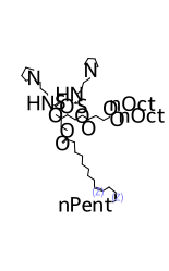 CCCCC/C=C\C/C=C\CCCCCCCC(=O)OCC(OC(=S)NCCCN1CCCC1)C(COC(=O)CCC(OCCCCCCCC)OCCCCCCCC)OC(=S)NCCCN1CCCC1